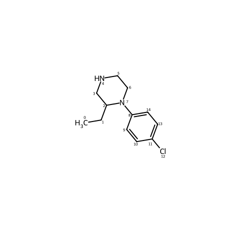 CCC1CNCCN1c1ccc(Cl)cc1